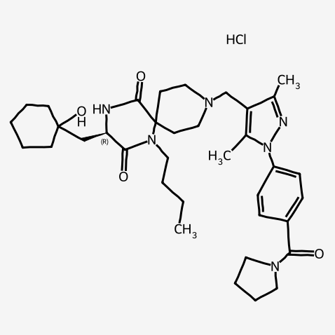 CCCCN1C(=O)[C@@H](CC2(O)CCCCC2)NC(=O)C12CCN(Cc1c(C)nn(-c3ccc(C(=O)N4CCCC4)cc3)c1C)CC2.Cl